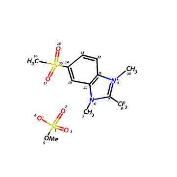 COS(=O)(=O)[O-].Cn1c(C(F)(F)F)[n+](C)c2ccc(S(C)(=O)=O)cc21